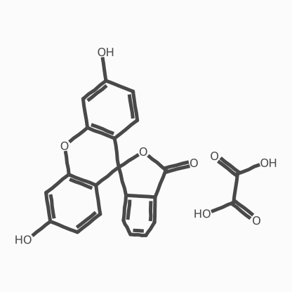 O=C(O)C(=O)O.O=C1OC2(c3ccc(O)cc3Oc3cc(O)ccc32)c2ccccc21